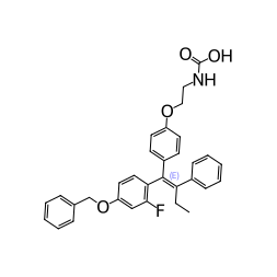 CC/C(=C(/c1ccc(OCCNC(=O)O)cc1)c1ccc(OCc2ccccc2)cc1F)c1ccccc1